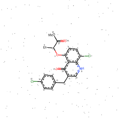 CCC(Oc1ccc(Cl)c2[nH]cc(Cc3ccc(Cl)cc3)c(=O)c12)C(=O)OC